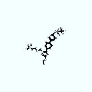 CCOc1nc(-c2ccc(-c3ccc(OS(=O)(=O)C(F)(F)F)nc3)cc2)n(COCC[Si](C)(C)C)n1